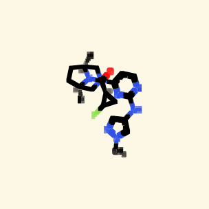 Cn1cc(Nc2nccc(N3C[C@H]4CC[C@@H](C3)N4C(=O)[C@H]3CC3F)n2)cn1